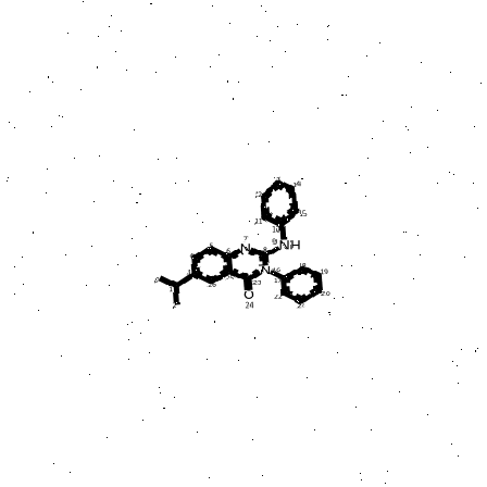 CC(C)c1ccc2nc(Nc3ccccc3)n(-c3ccccc3)c(=O)c2c1